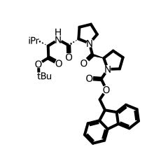 CC(C)[C@H](NC(=O)[C@@H]1CCCN1C(=O)[C@H]1CCCN1C(=O)OCC1c2ccccc2-c2ccccc21)C(=O)OC(C)(C)C